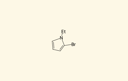 CCn1cccc1Br